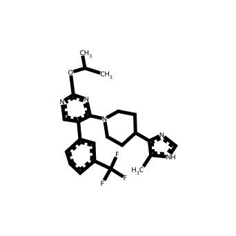 Cc1[nH]cnc1C1CCN(c2nc(OC(C)C)ncc2-c2cccc(C(F)(F)F)c2)CC1